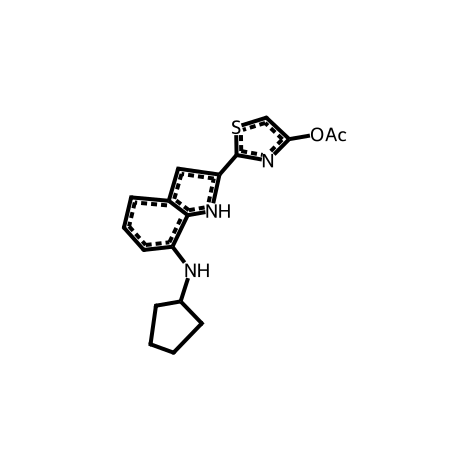 CC(=O)Oc1csc(-c2cc3cccc(NC4CCCC4)c3[nH]2)n1